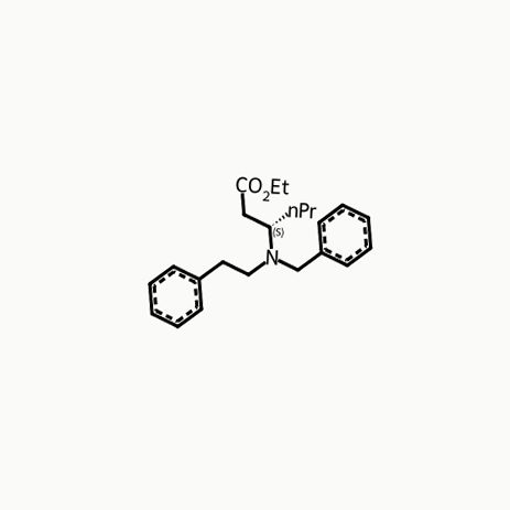 CCC[C@@H](CC(=O)OCC)N(CCc1ccccc1)Cc1ccccc1